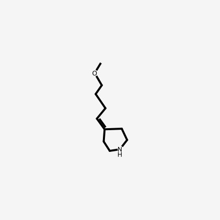 COCCCC=C1CCNCC1